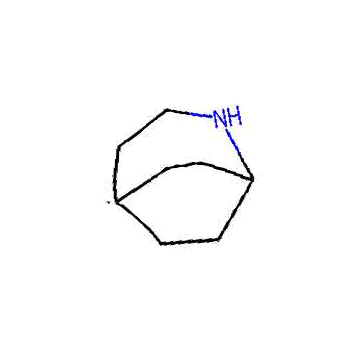 C1C[C]2CCC(CC2)N1